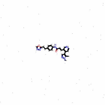 Cc1c(-c2ccncc2C=CC(=O)Nc2ccc(CCc3nnco3)cc2)cnn1C